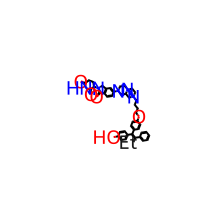 CC/C(=C(\c1ccc(O)cc1)c1ccc(OCCCCN2CCN3CCN(c4ccc5c(c4)CN(C4CCC(=O)NC4=O)C5=O)CC3C2)cc1)c1ccccc1